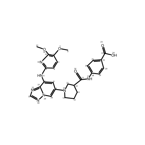 COc1ccc(Nc2cc(N3CCCC(C(=O)Nc4ccc(C(=O)O)cc4)C3)cn3ncnc23)nc1OC